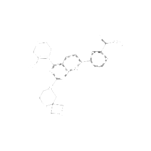 C[C@H]1COCCN1c1nc(N2CCOC3(COC3)C2)nc2nc(-c3cccc(C(N)=O)c3)ccc12